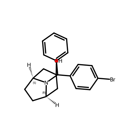 OC1(c2ccc(Br)cc2)C[C@H]2CC[C@@H](C1)N2Cc1ccccc1